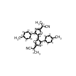 C/C(C#N)=c1\nc(-c2ccc(C)cc2)/c(=c2\o/c(=C(/C)C#N)nc2-c2ccc(C)cc2)o1